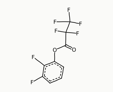 O=C(Oc1cccc(F)c1F)C(F)(F)C(F)(F)F